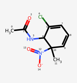 CC(=O)NC1C(Cl)=CC=CC1(C)[N+](=O)[O-]